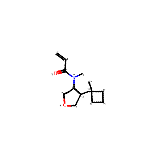 C=CC(=O)N(C)C1COCC1C1(C)CCC1